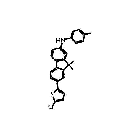 Cc1ccc(Nc2ccc3c(c2)C(C)(C)c2cc(-c4ccc(Cl)s4)ccc2-3)cc1